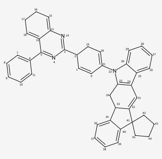 C1=CC(c2nc(-c3ccccc3)c3c(n2)=CCCC=3)CC=C1n1c2c(c3ccccc31)C=C1C(C2)c2ccccc2C12CCCC2